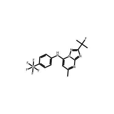 Cc1cc(Nc2ccc(S(F)(F)(F)(F)F)cc2)n2nc(C(C)(C)F)nc2n1